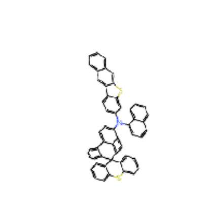 c1ccc2c(c1)Sc1ccccc1C21c2ccccc2-c2ccc(N(c3ccc4c(c3)sc3cc5ccccc5cc34)c3cccc4ccccc34)c3cccc1c23